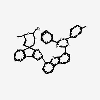 CCC1CCC2(/C=C/C(C)C1)c1ccccc1-c1cc(-c3cccc4c3oc3c(-c5nc(-c6ccccc6)nc(-c6ccc(C)cc6)n5)cccc34)ccc12